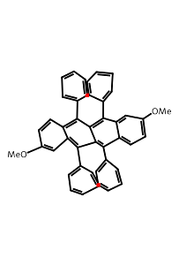 COc1ccc2c(-c3ccccc3)c3c(-c4ccccc4)c4cc(OC)ccc4c(-c4ccccc4)c3c(-c3ccccc3)c2c1